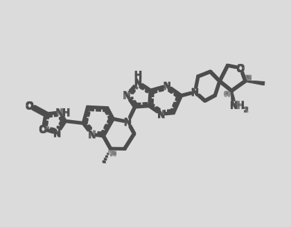 C[C@@H]1OCC2(CCN(c3cnc4c(N5CC[C@H](C)c6nc(-c7noc(=O)[nH]7)ccc65)n[nH]c4n3)CC2)[C@@H]1N